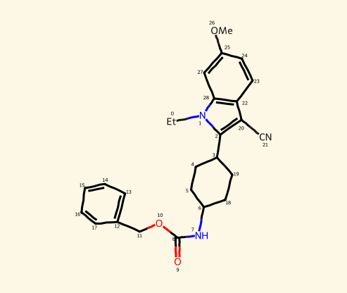 CCn1c(C2CCC(NC(=O)OCc3ccccc3)CC2)c(C#N)c2ccc(OC)cc21